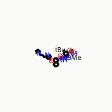 COc1c(NC(=O)Nc2ccc(Oc3ccnc(/C=C/CN4CCCC4)c3)c3ccccc23)cc(C(C)(C)C)cc1NS(C)(=O)=O